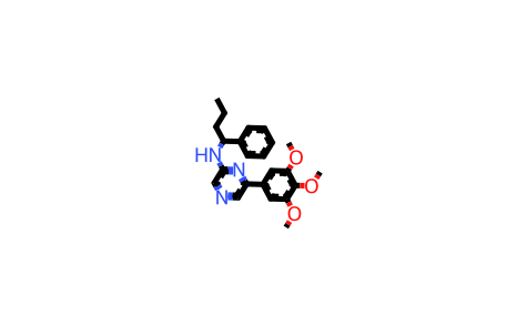 CCCC(Nc1cncc(-c2cc(OC)c(OC)c(OC)c2)n1)c1ccccc1